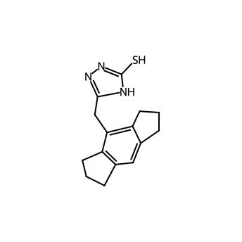 Sc1nnc(Cc2c3c(cc4c2CCC4)CCC3)[nH]1